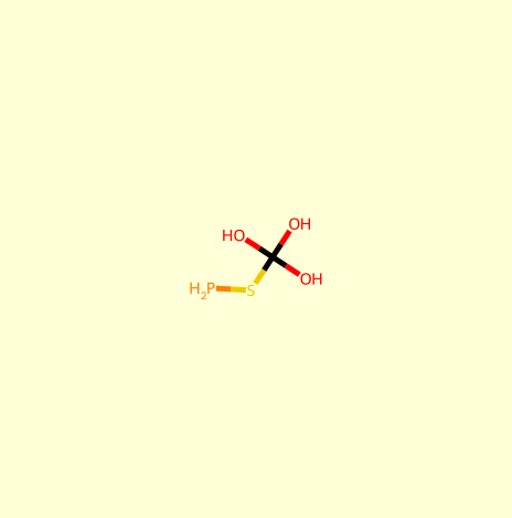 OC(O)(O)SP